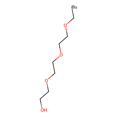 CCC(C)COCCOCCOCCO